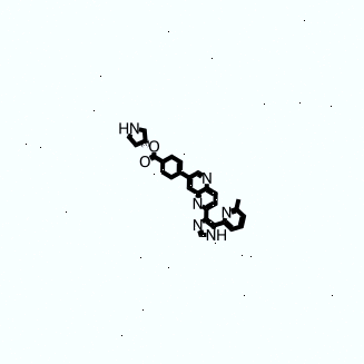 Cc1cccc(-c2[nH]cnc2-c2ccc3ncc(C4=CCC(C(=O)O[C@@H]5CCNC5)CC4)cc3n2)n1